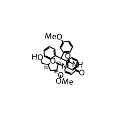 COO[C@@H]1C[C@@H](CO)O[C@]1(n1ccc(=O)[nH]c1=O)C(c1ccccc1)(c1ccccc1)c1cccc(OC)c1